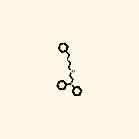 c1ccc(CSCCNCCP(c2ccccc2)c2ccccc2)cc1